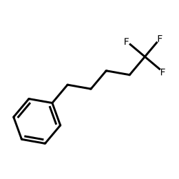 FC(F)(F)CCCCc1ccccc1